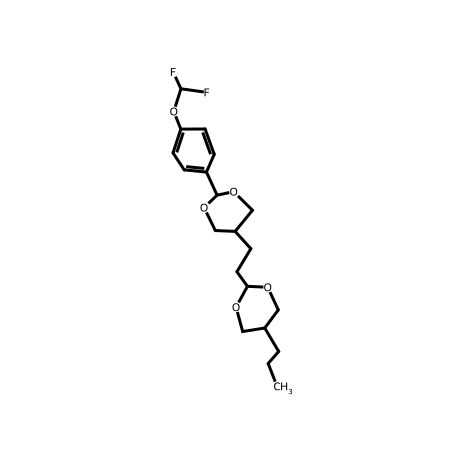 CCCC1COC(CCC2COC(c3ccc(OC(F)F)cc3)OC2)OC1